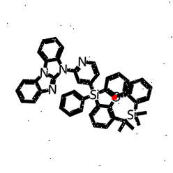 CC1(C)c2cccc([Si](c3ccccc3)(c3ccccc3)c3ccnc(-n4c5ccccc5n5c6ccccc6nc45)c3)c2Oc2ccccc2[Si]1(C)C